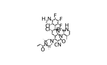 C=CC(=O)N1[C@H](C)CN(c2c(C#N)c(=O)n(C3=C(C)C=CN[C@@H]3C(C)C)c3nc(-c4c(F)c(F)c(F)c(N)c4Cl)c(Cl)cc23)C[C@@H]1C